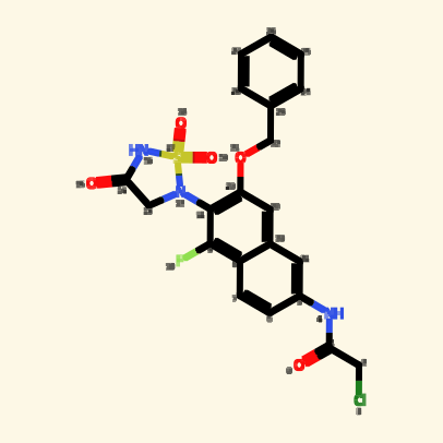 O=C(CCl)Nc1ccc2c(F)c(N3CC(=O)NS3(=O)=O)c(OCc3ccccc3)cc2c1